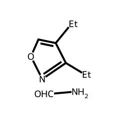 CCc1conc1CC.NC=O